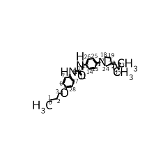 CCCCOc1ccc(NC(=O)Nc2ccc(N3CCC(N(C)C)C3)cc2)cc1